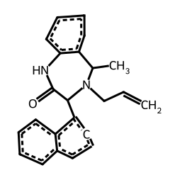 C=CCN1C(C)c2ccccc2NC(=O)C1c1cccc2ccccc12